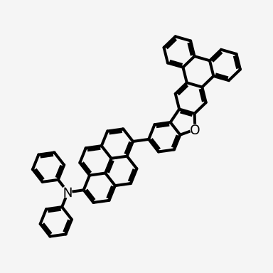 c1ccc(N(c2ccccc2)c2ccc3ccc4c(-c5ccc6oc7cc8c9ccccc9c9ccccc9c8cc7c6c5)ccc5ccc2c3c54)cc1